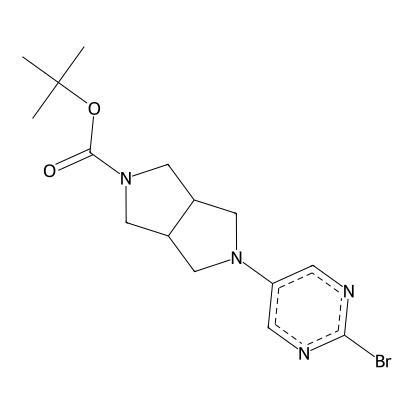 CC(C)(C)OC(=O)N1CC2CN(c3cnc(Br)nc3)CC2C1